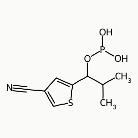 CC(C)C(OP(O)O)c1cc(C#N)cs1